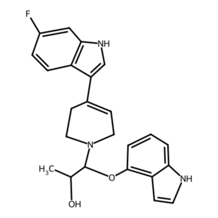 CC(O)C(Oc1cccc2[nH]ccc12)N1CC=C(c2c[nH]c3cc(F)ccc23)CC1